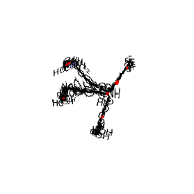 C[C@@]12CO[C@H](O1)[C@H](n1cc(COCCOCCOCCNC(=O)CCC(CCC(=O)NCCOCCOCCOC/C(N)=C/N(N)[C@H]3[C@H]4OCC(O4)[C@H](O)[C@@H]3O)(CCC(=O)NCCOCCOCCOCc3cn([C@H]4[C@@H]5OC[C@](CO)(O5)[C@H](O)[C@@H]4O)nn3)NC(=O)CCCCCCCCCCC(=O)Oc3c(F)c(F)c(F)c(F)c3F)nn1)[C@@H](O)[C@H]2O